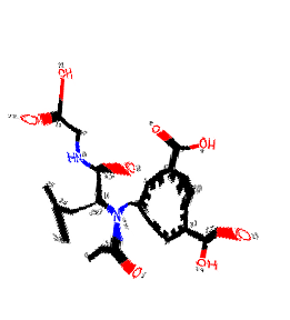 CC(=O)N(c1cc(C(=O)O)cc(C(=O)O)c1)[C@H](C(=O)NCC(=O)O)C(C)C